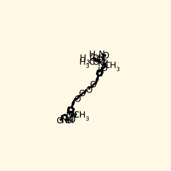 C[C@@H](OCc1ccc(C#CCOCCOCCOCCOCC#Cc2ccc3c(c2)n(C)c(=O)n3C2CCC(=O)NC2=O)cc1)[C@H](CCC(N)=O)NC(=O)OC(C)(C)C